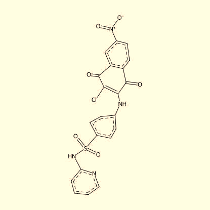 O=C1C(Cl)=C(Nc2ccc(S(=O)(=O)Nc3ccccn3)cc2)C(=O)c2ccc([N+](=O)[O-])cc21